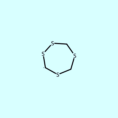 [CH]1SCSCSS1